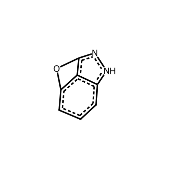 c1cc2c3c(n[nH]c3c1)O2